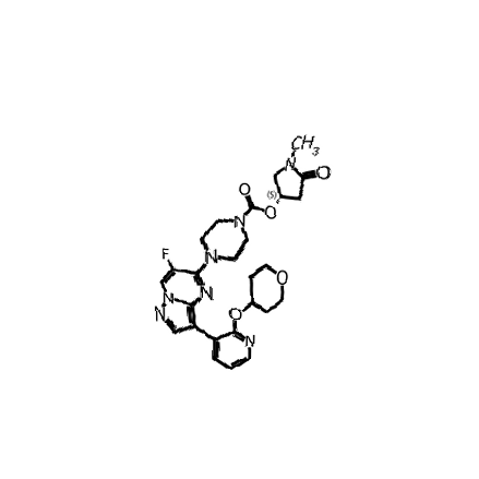 CN1C[C@@H](OC(=O)N2CCN(c3nc4c(-c5cccnc5OC5CCOCC5)cnn4cc3F)CC2)CC1=O